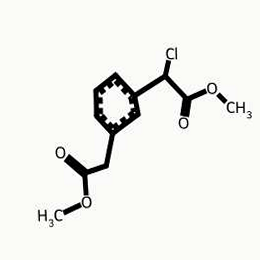 COC(=O)Cc1cccc(C(Cl)C(=O)OC)c1